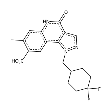 Cc1cc2[nH]c(=O)c3cnn(CC4CCC(F)(F)CC4)c3c2cc1C(=O)O